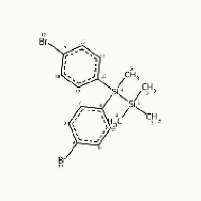 C[Si](C)(C)[Si](C)(c1ccc(Br)cc1)c1ccc(Br)cc1